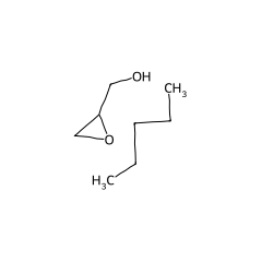 CCCCC.OCC1CO1